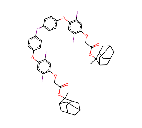 CC1(OC(=O)COc2cc(I)c(Oc3ccc([I+]c4ccc(Oc5cc(I)c(OCC(=O)OC6(C)C7CC8CC(C7)CC6C8)cc5I)cc4)cc3)cc2I)C2CC3CC(C2)CC1C3